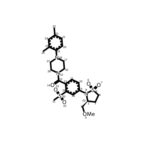 COC[C@@H]1CCS(=O)(=O)N1c1ccc(C(=O)N2CCN(c3ccc(C)cc3C)CC2)c(S(C)(=O)=O)c1